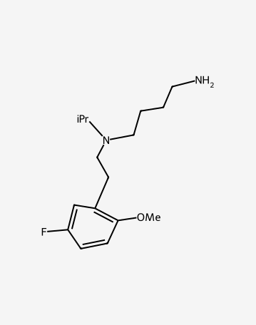 COc1ccc(F)cc1CCN(CCCCN)C(C)C